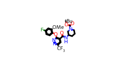 COc1cc(F)ccc1Oc1nnc(C(F)(F)F)cc1C(=O)NC1CCCN(C(=O)OC(C)(C)C)C1